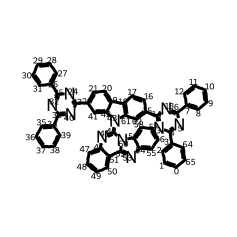 c1ccc(-c2nc(-c3ccccc3)nc(-c3ccc4c5ccc(-c6nc(-c7ccccc7)nc(-c7ccccc7)n6)cc5n(-c5nc6ccccc6c6nc7ccccc7n56)c4c3)n2)cc1